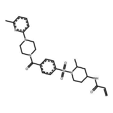 C=CC(=O)NC1CCN(S(=O)(=O)c2ccc(C(=O)N3CCN(c4cccc(C)n4)CC3)cc2)C(C)C1